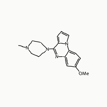 COc1ccc2c(c1)nc(N1CCN(C)CC1)c1cccn12